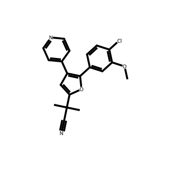 COc1cc(-c2oc(C(C)(C)C#N)cc2-c2ccncc2)ccc1Cl